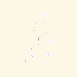 CCNC(=O)c1c(N)[nH]c2cc([N+](=O)[O-])c(F)cc12